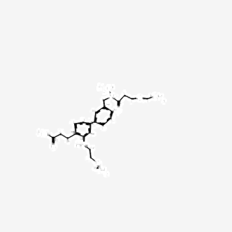 CCCCCC(=O)N(C)Cc1cccc(-c2ccc(CCC(=O)O)c(NCCOC)c2)c1